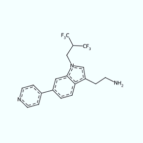 NCCc1cn(CC(C(F)(F)F)C(F)(F)F)c2cc(-c3ccncc3)ccc12